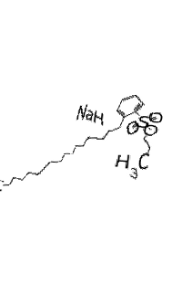 CCCCCCCCCCCCCCCCc1ccccc1S(=O)(=O)OCCC.[NaH]